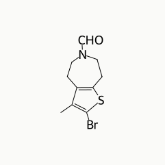 Cc1c(Br)sc2c1CCN(C=O)CC2